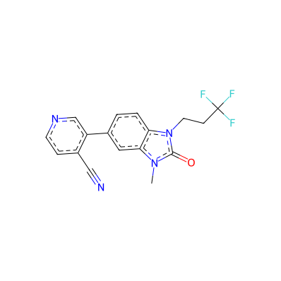 Cn1c(=O)n(CCC(F)(F)F)c2ccc(-c3cnccc3C#N)cc21